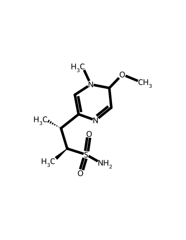 COC1C=NC([C@@H](C)[C@H](C)S(N)(=O)=O)=CN1C